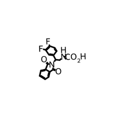 O=C(O)NCC(c1ccc(F)c(F)c1)N1C(=O)c2ccccc2C1=O